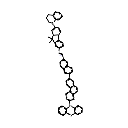 CC1(C)c2cc(/C=C/c3ccc4cc(-c5ccc6c(ccc7cc(N8c9ccccc9Sc9ccccc98)ccc76)c5)ccc4c3)ccc2C2C=CC(N3CCCc4ccccc43)=CC21